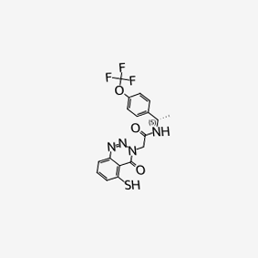 C[C@H](NC(=O)Cn1nnc2cccc(S)c2c1=O)c1ccc(OC(F)(F)F)cc1